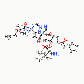 CCOC(C)(C)C(=O)Nc1ncnn2c([C@]3(C#N)O[C@H](COC(=O)CC4CCCC4)[C@@H](OC(=O)[C@H](N)C(C)(C)C)[C@H]3O)ccc12